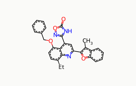 CCc1ccc(OCc2ccccc2)c2c(-c3noc(=O)[nH]3)cc(-c3oc4ccccc4c3C)nc12